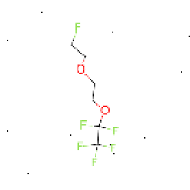 FCCOCCOC(F)(F)C(F)(F)F